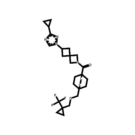 O=C(N1CC2(CC(n3cnc(C4CC4)n3)C2)C1)C12CCC(COCC3(C(F)(F)F)CC3)(CC1)CC2